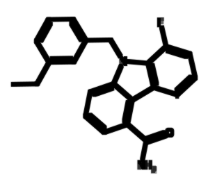 CCc1cccc(Cn2c3cccc(C(N)=O)c3c3[c]ccc(F)c32)c1